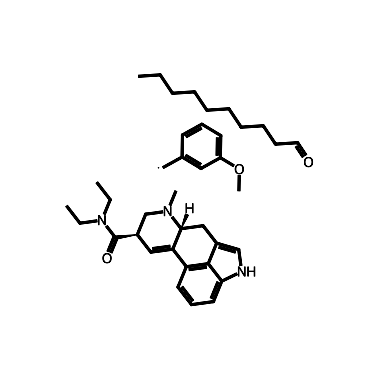 CCCCCCCCCC=O.CCN(CC)C(=O)[C@@H]1C=C2c3cccc4[nH]cc(c34)C[C@H]2N(C)C1.[CH2]c1cccc(OC)c1